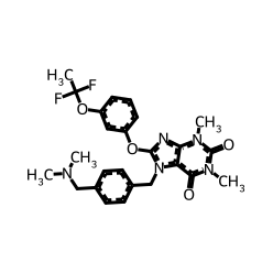 CN(C)Cc1ccc(Cn2c(Oc3cccc(OC(C)(F)F)c3)nc3c2c(=O)n(C)c(=O)n3C)cc1